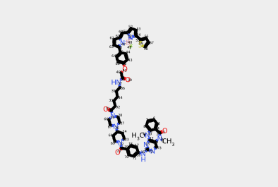 CN1C(=O)c2ccccc2N(C)c2nc(Nc3ccc(C(=O)N4CCC(N5CCN(C(=O)CCCCCNC(=O)COc6ccc(C7=[N+]8B(F)n9c(ccc9-c9cccs9)C=C8C=C7)cc6)CC5)CC4)cc3)ncc21